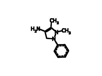 CC1=C(N)CN(c2ccccc2)N1C